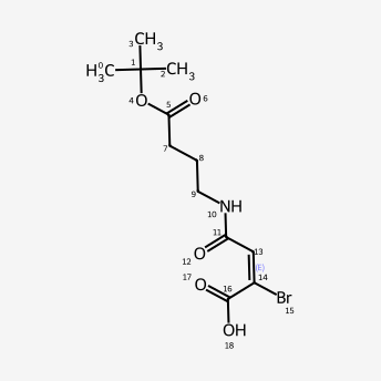 CC(C)(C)OC(=O)CCCNC(=O)/C=C(/Br)C(=O)O